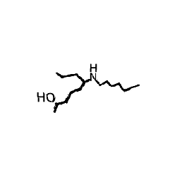 CCCCCCNC(CCC)CCCC(C)O